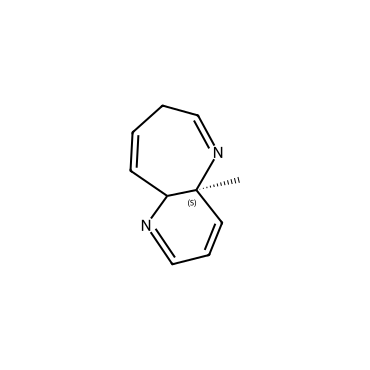 C[C@]12C=CC=NC1C=CCC=N2